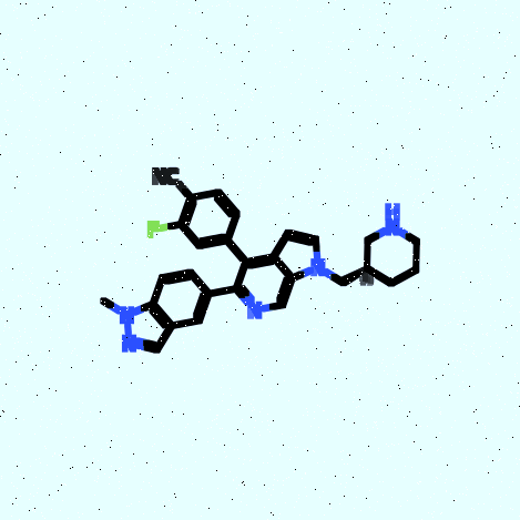 Cn1ncc2cc(-c3ncc4c(ccn4C[C@@H]4CCCNC4)c3-c3ccc(C#N)c(F)c3)ccc21